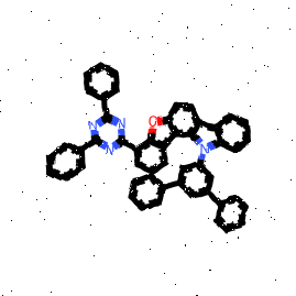 c1ccc(-c2cc(-c3ccccc3)cc(-n3c4ccccc4c4ccc5oc6c(-c7nc(-c8ccccc8)nc(-c8ccccc8)n7)cccc6c5c43)c2)cc1